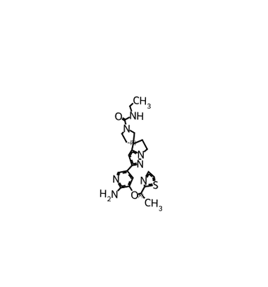 CCNC(=O)N1CC[C@@]2(CCn3nc(-c4cnc(N)c(O[C@H](C)c5nccs5)c4)cc32)C1